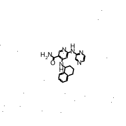 NC(=O)c1cnc(Nc2cnccn2)cc1NC1CCCc2ccccc21